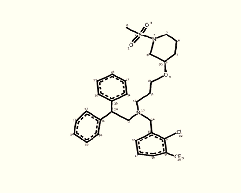 CS(=O)(=O)N1CCC[C@@H](OCCCN(Cc2cccc(C(F)(F)F)c2Cl)CC(c2ccccc2)c2ccccc2)C1